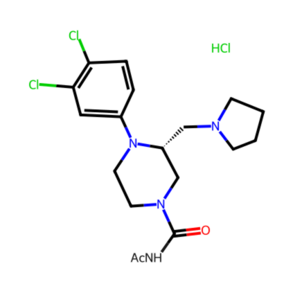 CC(=O)NC(=O)N1CCN(c2ccc(Cl)c(Cl)c2)[C@H](CN2CCCC2)C1.Cl